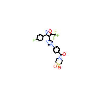 O=C(c1ccc(-n2cnc(-c3c(-c4ccc(F)cc4)noc3C(F)(F)F)c2)cc1)N1CCS(=O)(=O)CC1